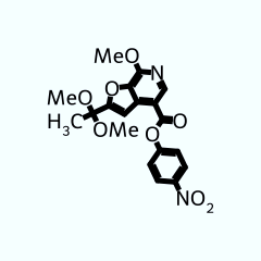 COc1ncc(C(=O)Oc2ccc([N+](=O)[O-])cc2)c2cc(C(C)(OC)OC)oc12